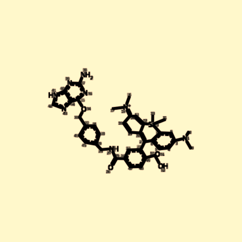 CN(C)c1ccc2c(c1)[Si](C)(C)C1=CC(=[N+](C)C)C=CC1=C2c1cc(C(=O)NCc2ccc(COc3nc(N)nc4[nH]cnc34)cc2)ccc1C(=O)O